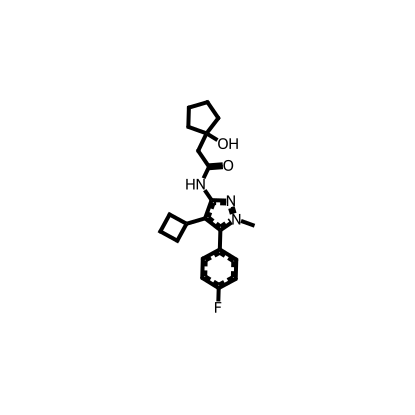 Cn1nc(NC(=O)CC2(O)CCCC2)c(C2CCC2)c1-c1ccc(F)cc1